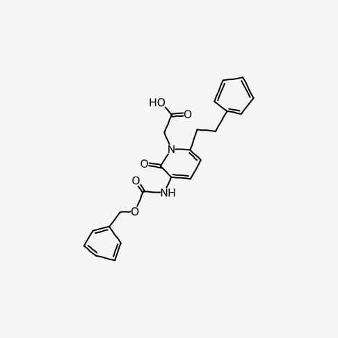 O=C(O)Cn1c(CCc2ccccc2)ccc(NC(=O)OCc2ccccc2)c1=O